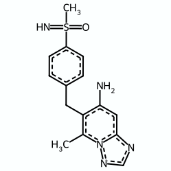 Cc1c(Cc2ccc(S(C)(=N)=O)cc2)c(N)cc2ncnn12